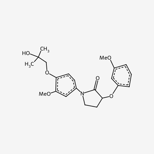 COc1cccc(OC2CCN(c3ccc(OCC(C)(C)O)c(OC)c3)C2=O)c1